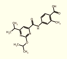 Cc1cc(NC(=O)c2cc(C(C)C)nc(OC(C)C)n2)ccc1C(=O)O